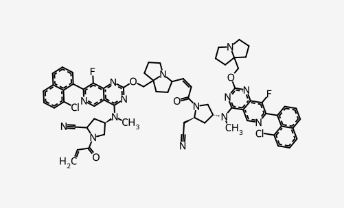 C=CC(=O)N1C[C@H](N(C)c2nc(OCC34CCCN3C(/C=C\C(=O)N3C[C@H](N(C)c5nc(OCC67CCCN6CCC7)nc6c(F)c(-c7cccc8cccc(Cl)c78)ncc56)C[C@H]3CC#N)CC4)nc3c(F)c(-c4cccc5cccc(Cl)c45)ncc23)CC1C#N